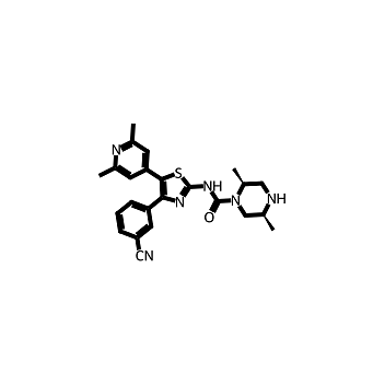 Cc1cc(-c2sc(NC(=O)N3C[C@H](C)NC[C@@H]3C)nc2-c2cccc(C#N)c2)cc(C)n1